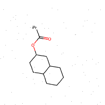 CC(C)C(=O)OC1CCC2CCCCC2C1